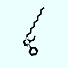 CCCCCCCCCCN1C=CN(c2ccccc2)C1CC